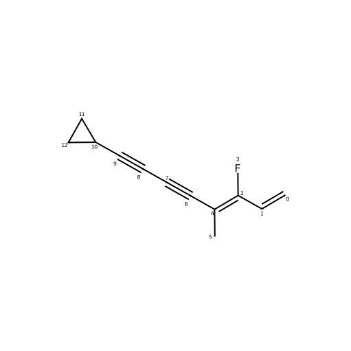 C=C/C(F)=C(\C)C#CC#CC1CC1